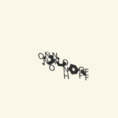 Cn1c(=O)c2c(ncn2CC(=O)Nc2ccc(OC(F)(F)F)cc2)n(C)c1=O